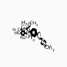 C=C(c1cc(C(C)C)c(O)cc1O)N(C(=N)COC)c1ccc(OCCN2CCN(C)CC2)cc1